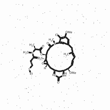 CCSCCC(=O)N(C)[C@@H](C)C(=O)O[C@H]1CC(=O)N(C)c2cc(cc(OC)c2Cl)C/C(C)=C/C=C/[C@@H](OC)[C@@]2(O)C[C@@H](C[C@@H]3O[C@@]13C)OC(=O)N2